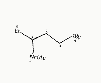 CCC(CCC(C)(C)C)NC(C)=O